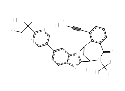 [2H]C([2H])([2H])N1C(=O)c2cccc(C#CC)c2[C@H]2C[C@@H]1c1nc3ccc(-c4cnc(C(C)(O)CO)nc4)cc3n12